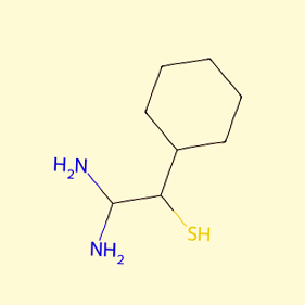 NC(N)C(S)C1CCCCC1